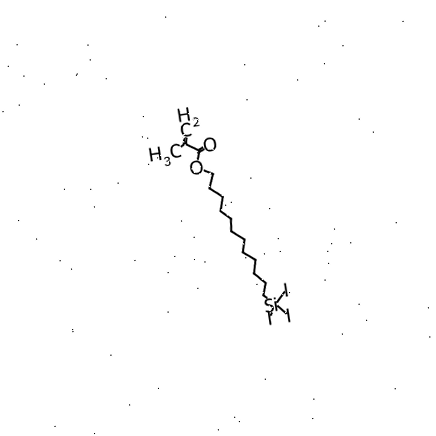 C=C(C)C(=O)OCCCCCCCCCCCC[Si](I)(I)I